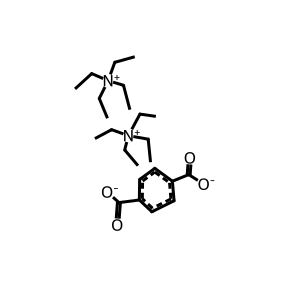 CC[N+](CC)(CC)CC.CC[N+](CC)(CC)CC.O=C([O-])c1ccc(C(=O)[O-])cc1